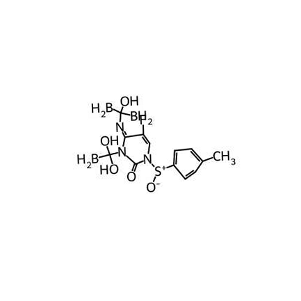 BC(B)(O)/N=c1\c(F)cn([S+]([O-])c2ccc(C)cc2)c(=O)n1C(B)(O)O